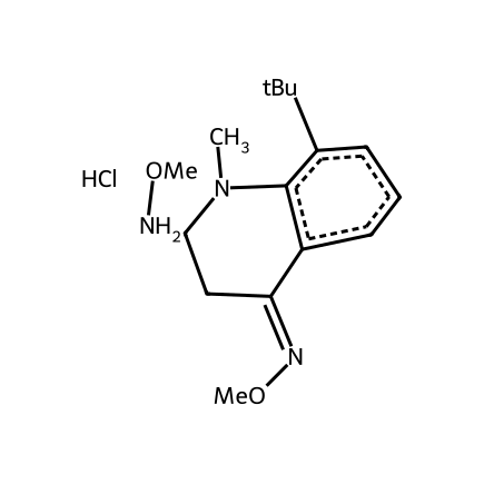 CON.CON=C1CCN(C)c2c1cccc2C(C)(C)C.Cl